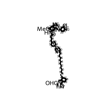 CCCC(C=O)N1Cc2c(SCCCCCCCCCCCN3CCN(C4CCN(C/C=C/C(=O)Nc5cc6c(Nc7ccc(F)c(Cl)c7)ncnc6cc5OC)CC4)CC3)cccc2C1=O